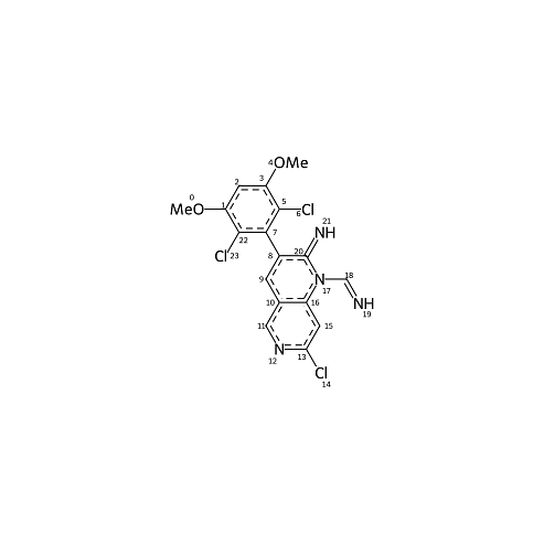 COc1cc(OC)c(Cl)c(-c2cc3cnc(Cl)cc3n(C=N)c2=N)c1Cl